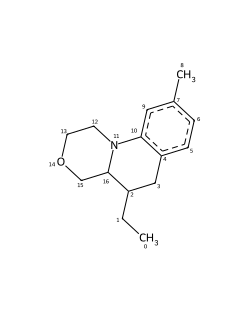 CCC1Cc2ccc(C)cc2N2CCOCC12